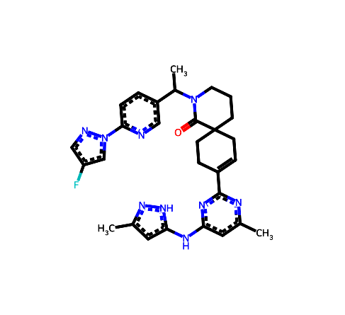 Cc1cc(Nc2cc(C)nc(C3=CCC4(CCCN(C(C)c5ccc(-n6cc(F)cn6)nc5)C4=O)CC3)n2)[nH]n1